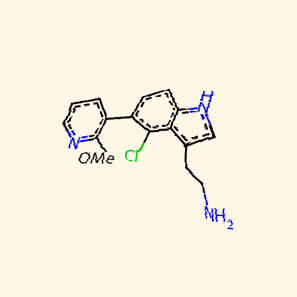 COc1ncccc1-c1ccc2[nH]cc(CCN)c2c1Cl